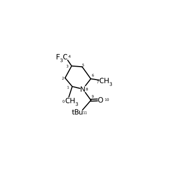 CC1CC(C(F)(F)F)CC(C)N1C(=O)C(C)(C)C